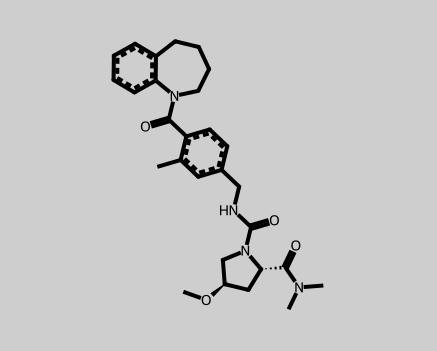 CO[C@@H]1C[C@@H](C(=O)N(C)C)N(C(=O)NCc2ccc(C(=O)N3CCCCc4ccccc43)c(C)c2)C1